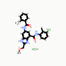 CCOCc1nc2c(C(=O)Nc3cccc(Cl)c3C)cc(NC(=O)c3ccccc3C(F)(F)F)cc2[nH]1.Cl